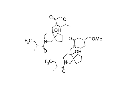 CC1CN(CC2(O)CCN(C(=O)[C@H](C)CC(F)(F)F)CC23CCCC3)C(=O)CO1.COCC1CCN(CC2(O)CCN(C(=O)[C@H](C)CC(F)(F)F)CC23CCCC3)C(=O)C1